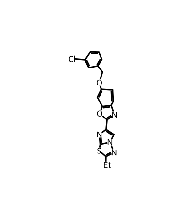 CCc1nn2cc(-c3nc4ccc(OCc5cccc(Cl)c5)cc4o3)nc2s1